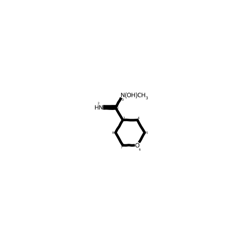 CN(O)C(=N)C1CCOCC1